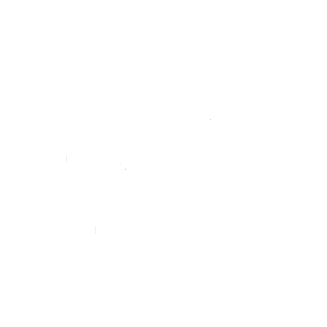 CCC1(CCN(C)C(C)=O)CC1